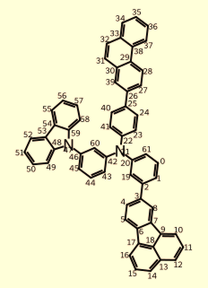 c1cc(-c2ccc3c(c2)-c2cccc4cccc-3c24)cc(N(c2ccc(-c3ccc4c(ccc5ccccc54)c3)cc2)c2cccc(-n3c4ccccc4c4ccccc43)c2)c1